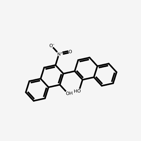 O=[N+]([O-])c1cc2ccccc2c(O)c1-c1ccc2ccccc2c1O